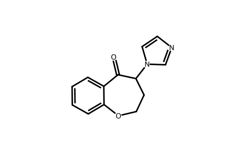 O=C1c2ccccc2OCCC1n1ccnc1